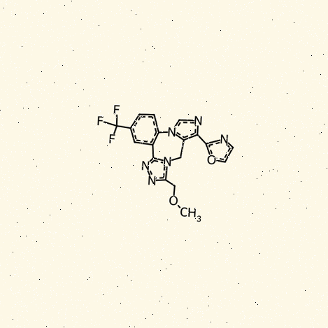 COCc1nnc2n1Cc1c(-c3ncco3)ncn1-c1ccc(C(F)(F)F)cc1-2